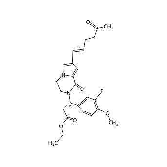 CCOC(=O)C[C@@H](c1ccc(OC)c(F)c1)N1CCn2cc(/C=C/CCC(C)=O)cc2C1=O